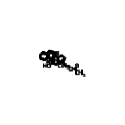 CC(=O)OCCC1=CC[C@H]2[C@@H]3CCC4=CCC=C[C@]4(C)[C@H]3[C@@H](O)C[C@]12C